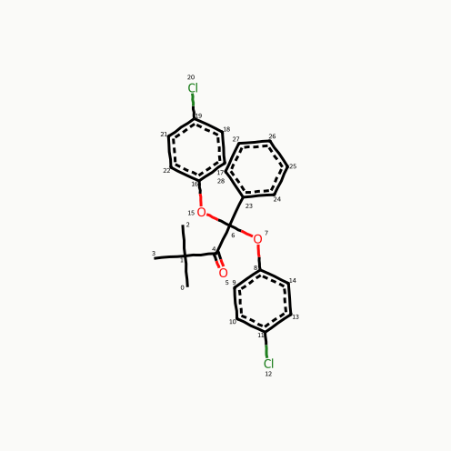 CC(C)(C)C(=O)C(Oc1ccc(Cl)cc1)(Oc1ccc(Cl)cc1)c1ccccc1